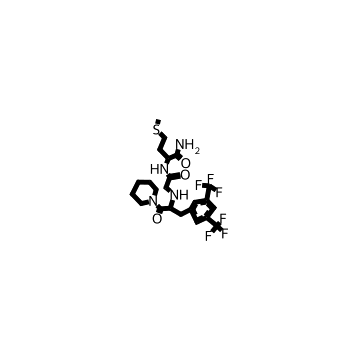 CSCCC(NC(=O)CNC(Cc1cc(C(F)(F)F)cc(C(F)(F)F)c1)C(=O)N1CCCCC1)C(N)=O